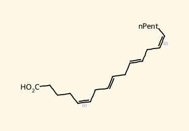 CCCCC/C=C\CC=CCC=CC/C=C\CCCC(=O)O